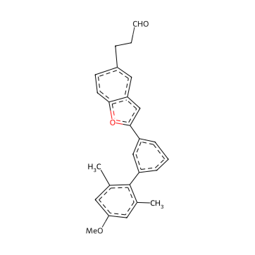 COc1cc(C)c(-c2cccc(-c3cc4cc(CCC=O)ccc4o3)c2)c(C)c1